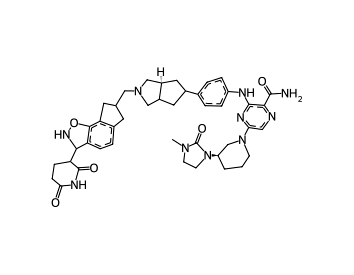 CN1CCN([C@@H]2CCCN(c3cnc(C(N)=O)c(Nc4ccc(C5CC6CN(CC7Cc8ccc9c(c8C7)ONC9C7CCC(=O)NC7=O)C[C@H]6C5)cc4)n3)C2)C1=O